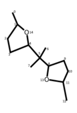 CC1CCC(C(C)(C)C2CCC(C)O2)O1